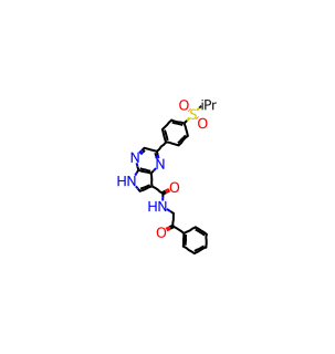 CC(C)S(=O)(=O)c1ccc(-c2cnc3[nH]cc(C(=O)NCC(=O)c4ccccc4)c3n2)cc1